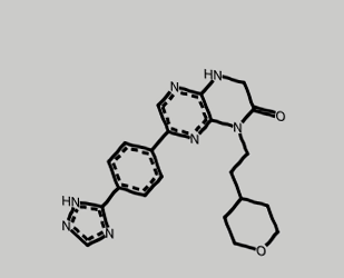 O=C1CNc2ncc(-c3ccc(-c4ncn[nH]4)cc3)nc2N1CCC1CCOCC1